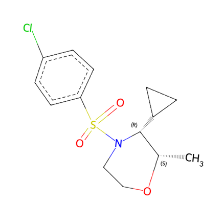 C[C@@H]1OCCN(S(=O)(=O)c2ccc(Cl)cc2)[C@@H]1C1CC1